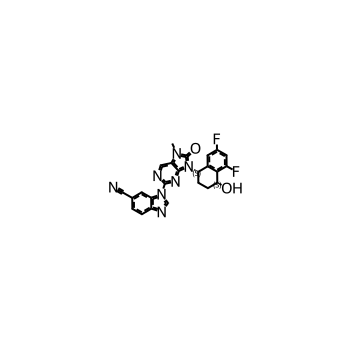 Cn1c(=O)n([C@H]2CC[C@H](O)c3c(F)cc(F)cc32)c2nc(-n3cnc4ccc(C#N)cc43)ncc21